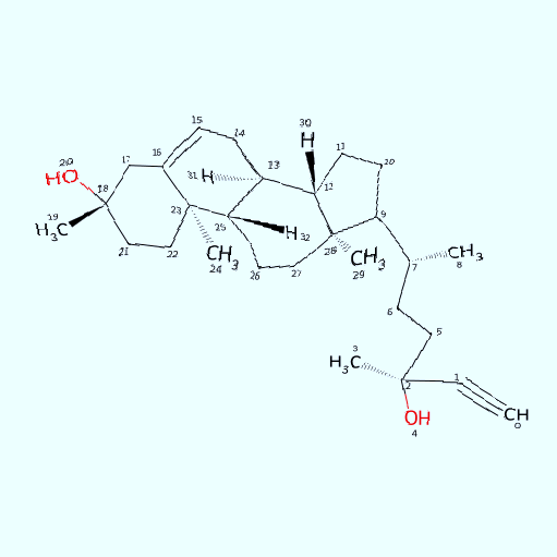 C#C[C@@](C)(O)CC[C@@H](C)C1CC[C@H]2[C@@H]3CC=C4C[C@@](C)(O)CC[C@]4(C)[C@H]3CC[C@]12C